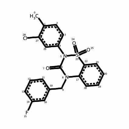 Cc1ccc(N2C(=O)N(Cc3cccc(F)c3)c3ccccc3S2(=O)=O)cc1Cl